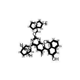 Oc1cc(-c2nc3nc(OC[C@@]45CCCN4C[C@H](F)C5)nc(N4C[C@H]5CC[C@@H](C4)N5)c3cc2F)c2c(Cl)cccc2c1